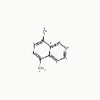 [CH2]Cc1ccc(C)c2ccccc12